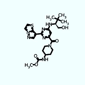 COC(=O)NC1CCN(C(=O)c2cc(N[C@H](CO)C(C)(C)C)nc(-c3cnn4ccsc34)n2)CC1